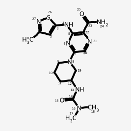 Cc1cc(Nc2nc(N3CCCC(NC(=O)N(C)C)C3)cnc2C(N)=O)sn1